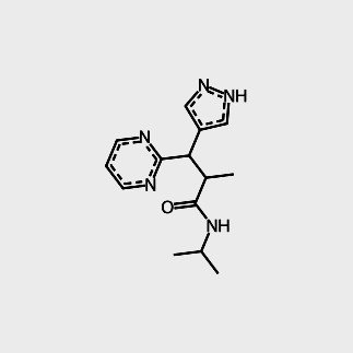 CC(C)NC(=O)C(C)C(c1cn[nH]c1)c1ncccn1